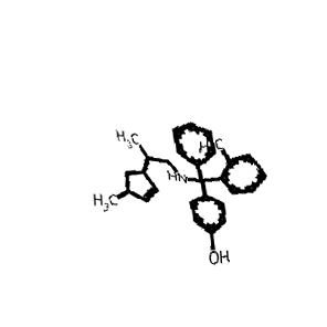 Cc1ccccc1C(NCC(C)C1C=CC(C)C1)(c1ccccc1)c1ccc(O)cc1